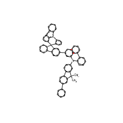 CC1(C)c2cc(-c3ccccc3)ccc2-c2ccc(N(c3cccc(-c4ccc5c(c4)C4(c6ccccc6-5)c5ccccc5-n5c6ccccc6c6cccc4c65)c3)c3ccccc3-c3ccccc3)cc21